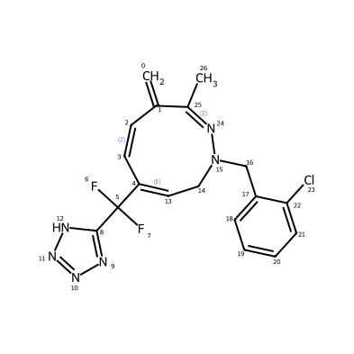 C=C1/C=C\C(C(F)(F)c2nnn[nH]2)=C/CN(Cc2ccccc2Cl)/N=C\1C